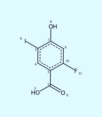 O=C(O)c1cc(I)c(O)cc1F